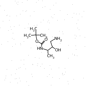 CC(NC(=O)OC(C)(C)C)C(O)CN